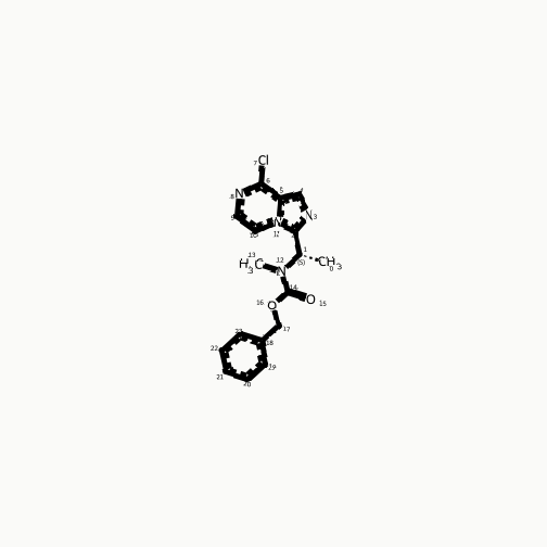 C[C@@H](c1ncc2c(Cl)nccn12)N(C)C(=O)OCc1ccccc1